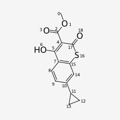 COC(=O)c1c(O)c2ccc(C3CC3)cc2sc1=O